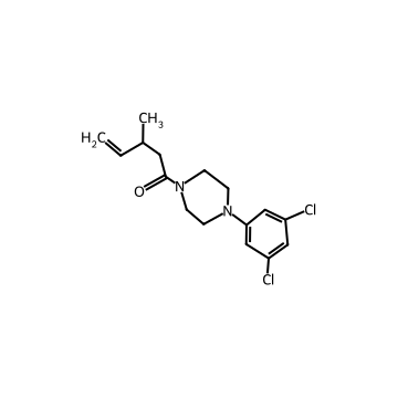 C=CC(C)CC(=O)N1CCN(c2cc(Cl)cc(Cl)c2)CC1